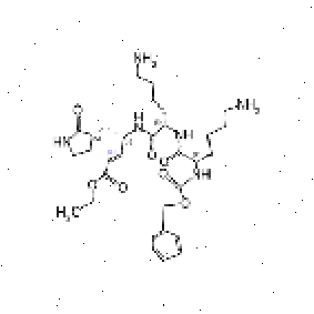 CCOC(=O)/C=C/[C@H](C[C@@H]1CCNC1=O)NC(=O)[C@H](CCCCN)NC(=O)[C@@H](CCCCN)NC(=O)OCc1ccccc1